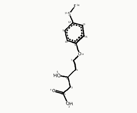 O=C(O)CC(O)CCOc1ccc(SF)cc1